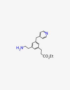 CCOC(=O)CCc1cc(CCN)cc(Cc2ccncc2)c1